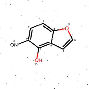 O=Nc1ccc2occc2c1O